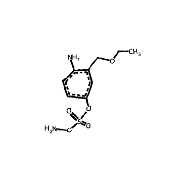 CCOCc1cc(OS(=O)(=O)ON)ccc1N